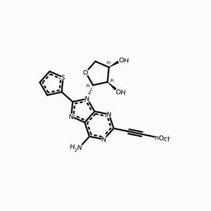 CCCCCCCCC#Cc1nc(N)c2nc(-c3cccs3)n([C@@H]3OC[C@@H](O)[C@H]3O)c2n1